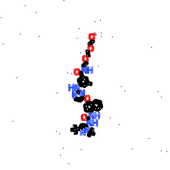 COCCOCCOCCNC(=O)c1cc(C)cc(Nc2nccc(Oc3ccc(NC(=O)Nc4cc(C(C)(C)C)nn4C(C)(C)C)c4ccccc34)n2)c1